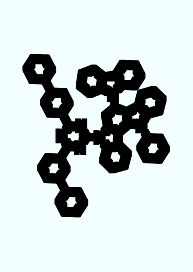 c1ccc(-c2ccc(-c3nc(-c4cccc(-c5ccccc5)c4)nc(-n4c5ccccc5c5c4cc(-n4c6ccccc6c6ccccc64)c4c6ccccc6n(-c6ccccc6)c45)n3)cc2)cc1